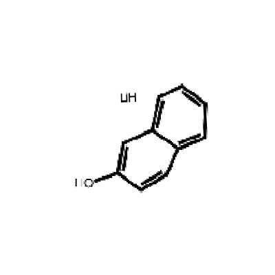 Oc1ccc2ccccc2c1.[LiH]